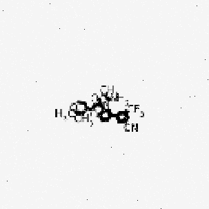 CN1C(=O)C2(CC(C3CCOC(C)(C)C3)Oc3ccc(-c4cc(C#N)cc(C(F)(F)F)c4)cc32)N=C1N